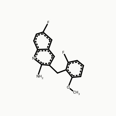 COc1cccc(F)c1Cc1cc2cc(F)ccc2nc1N